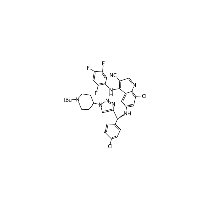 CC(C)(C)N1CCC(n2cc([C@@H](Nc3cc(Cl)c4ncc(C#N)c(Nc5cc(F)c(F)cc5F)c4c3)c3ccc(Cl)cc3)nn2)CC1